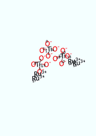 [O-][Ti]([O-])([O-])[O-].[O-][Ti]([O-])([O-])[O-].[O-][Ti]([O-])([O-])[O-].[Ru+3].[Ru+3].[Ru+3].[Ru+3]